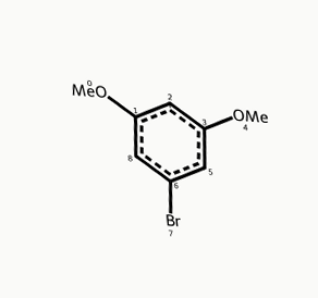 COc1[c]c(OC)cc(Br)c1